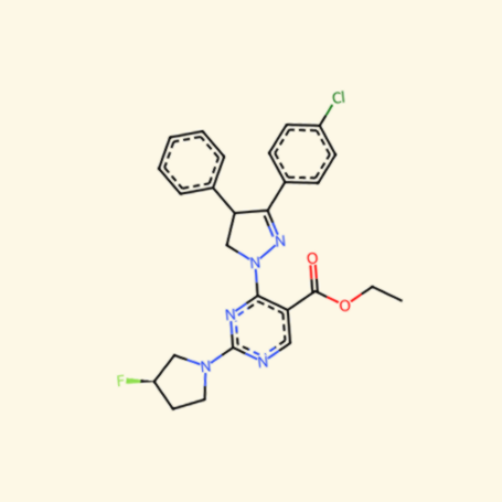 CCOC(=O)c1cnc(N2CC[C@@H](F)C2)nc1N1CC(c2ccccc2)C(c2ccc(Cl)cc2)=N1